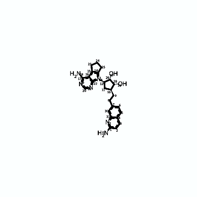 Nc1ccc2ccc(CC[C@H]3C[C@@H](n4c5c(c6c(N)ncnc64)CCC5)[C@H](O)[C@@H]3O)cc2n1